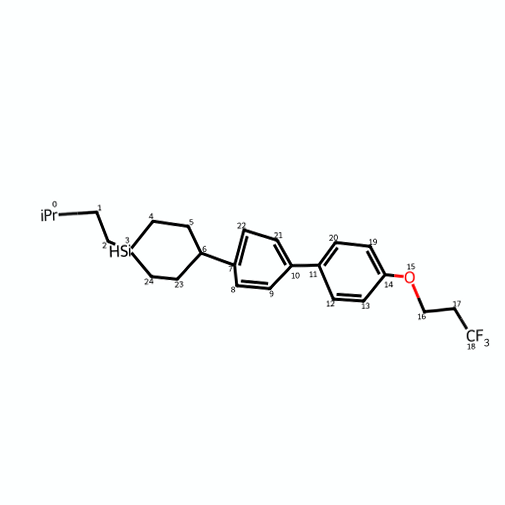 CC(C)CC[SiH]1CCC(c2ccc(-c3ccc(OCCC(F)(F)F)cc3)cc2)CC1